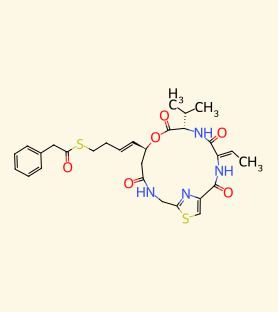 C/C=C1\NC(=O)c2csc(n2)CNC(=O)C[C@@H](/C=C/CCSC(=O)Cc2ccccc2)OC(=O)[C@H](C(C)C)NC1=O